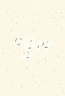 O=C(NNC(=O)C(Cc1ccccc1)NC(=O)c1cnccn1)c1ccncc1